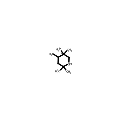 CC1(C)CC(N)C(C)(C)CN1